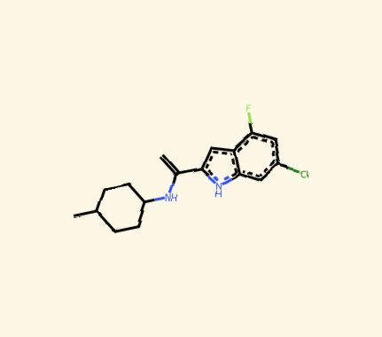 C=C(NC1CCC(C)CC1)c1cc2c(F)cc(Cl)cc2[nH]1